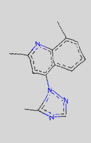 Cc1cc(-n2ncnc2C)c2cccc(C)c2n1